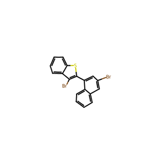 Brc1cc(-c2sc3ccccc3c2Br)c2ccccc2c1